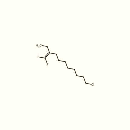 CCC(CCCCCCCCCl)=C(F)F